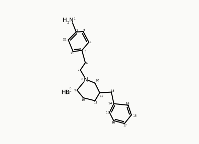 Br.Nc1ccc(CCN2CCCC(Cc3ccccc3)C2)cc1